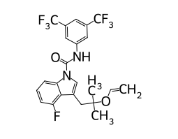 C=COC(C)(C)Cc1cn(C(=O)Nc2cc(C(F)(F)F)cc(C(F)(F)F)c2)c2cccc(F)c12